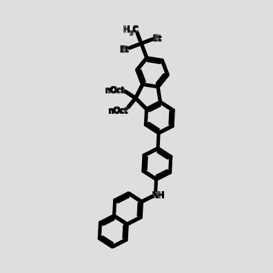 CCCCCCCCC1(CCCCCCCC)c2cc(-c3ccc(Nc4ccc5ccccc5c4)cc3)ccc2-c2ccc(C(C)(CC)CC)cc21